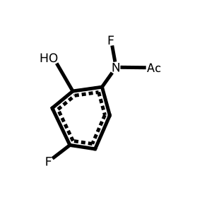 CC(=O)N(F)c1ccc(F)cc1O